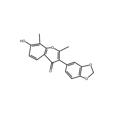 Cc1oc2c(C)c(O)ccc2c(=O)c1-c1ccc2c(c1)OCO2